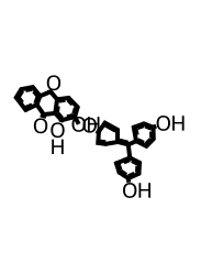 O=C1C=CC(=C(c2ccc(O)cc2)c2ccc(O)cc2)C=C1.O=C1c2ccccc2C(=O)c2c1ccc(O)c2O